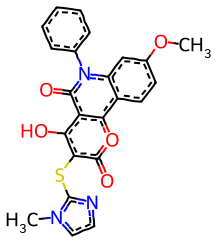 COc1ccc2c3oc(=O)c(Sc4nccn4C)c(O)c3c(=O)n(-c3ccccc3)c2c1